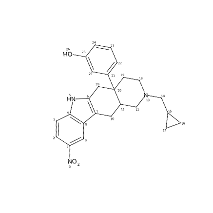 O=[N+]([O-])c1ccc2[nH]c3c(c2c1)CC1CN(CC2CC2)CCC1(c1cccc(O)c1)C3